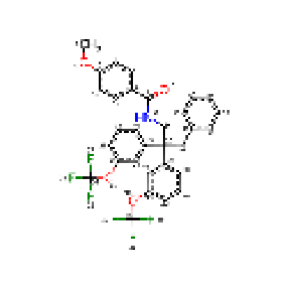 COc1ccc(C(=O)NCC(Cc2ccccc2)(c2cccc(OC(F)(F)F)c2)c2cccc(OC(F)(F)F)c2)cc1